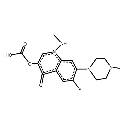 CNn1cc(OC(=O)O)c(=O)c2cc(F)c(N3CCN(C)CC3)cc21